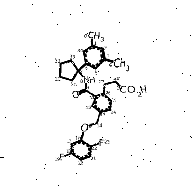 Cc1cc(C)cc(C2(NC(=O)c3cc(COc4cc(F)ccc4F)ccc3CCC(=O)O)CCCC2)c1